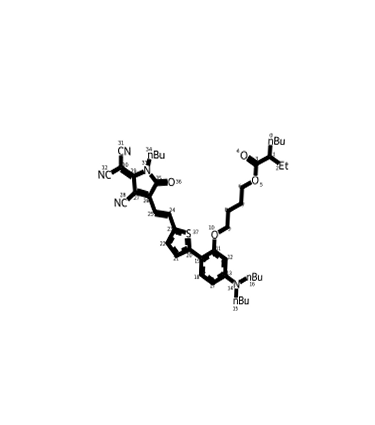 CCCCC(CC)C(=O)OCCCCOc1cc(N(CCCC)CCCC)ccc1-c1ccc(/C=C/C2=C(C#N)C(=C(C#N)C#N)N(CCCC)C2=O)s1